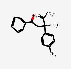 C=C(C(=O)O)C(CC(=O)c1ccccc1)(C(=O)O)c1ccc(C)cc1